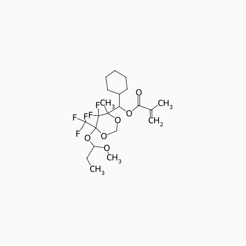 C=C(C)C(=O)OC(C1CCCCC1)C1(C)OCOC(OC(CC)OC)(C(F)(F)F)C1(F)F